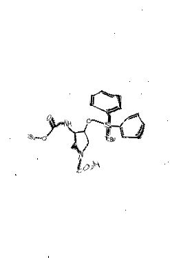 CC(C)(C)OC(=O)NC1CN(C(=O)O)CC1O[Si](c1ccccc1)(c1ccccc1)C(C)(C)C